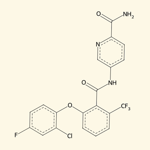 NC(=O)c1ccc(NC(=O)c2c(Oc3ccc(F)cc3Cl)cccc2C(F)(F)F)cn1